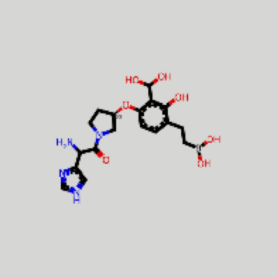 NC(C(=O)N1CC[C@@H](Oc2ccc(CCB(O)O)c(O)c2C(O)O)C1)c1c[nH]cn1